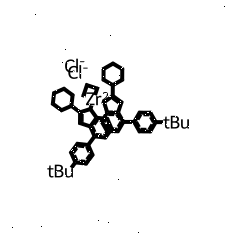 CC(C)(C)c1ccc(-c2cccc3c2C=C(C2CCCCC2)[CH]3[Zr+2]2([CH]3C(C4CCCCC4)=Cc4c(-c5ccc(C(C)(C)C)cc5)cccc43)[CH2]C[CH2]2)cc1.[Cl-].[Cl-]